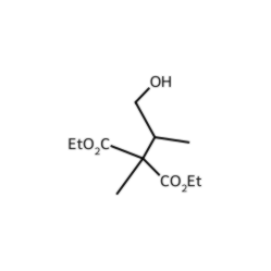 CCOC(=O)C(C)(C(=O)OCC)C(C)CO